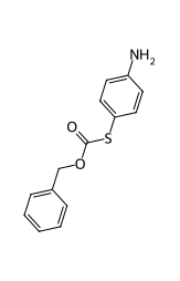 Nc1ccc(SC(=O)OCc2ccccc2)cc1